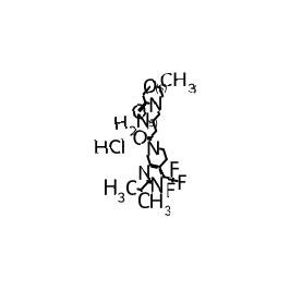 CC(C)c1nc2c(c(C(F)(F)F)n1)CCN(C(=O)C[C@H](N)CN1C[C@H](C)OCC1=O)C2.Cl